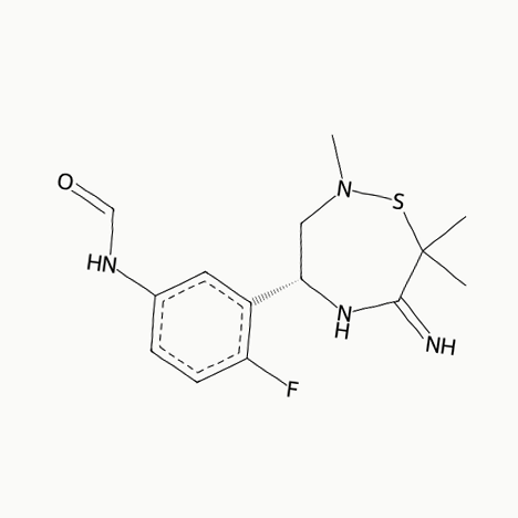 CN1C[C@@H](c2cc(NC=O)ccc2F)NC(=N)C(C)(C)S1